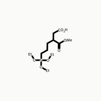 CCO[Si](CCCC(CC(=O)O)C(=O)OC)(OCC)OCC